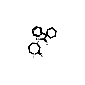 O=C1C[C@@H](NC(=O)C2(c3ccccc3)CCCCC2)CCCN1